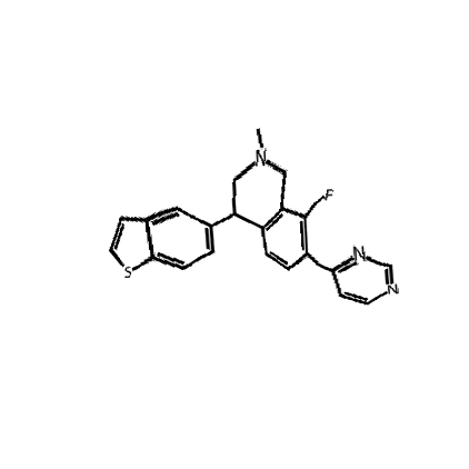 CN1Cc2c(ccc(-c3ccncn3)c2F)C(c2ccc3sccc3c2)C1